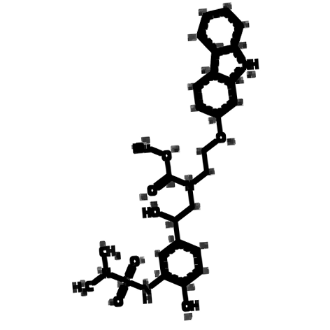 CN(C)S(=O)(=O)Nc1cc(C(O)CN(CCOc2ccc3c(c2)[nH]c2ccccc23)C(=O)OC(C)(C)C)ccc1O